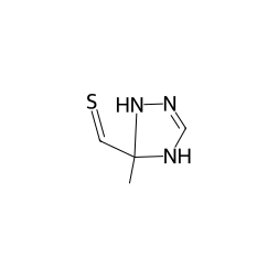 CC1(C=S)NC=NN1